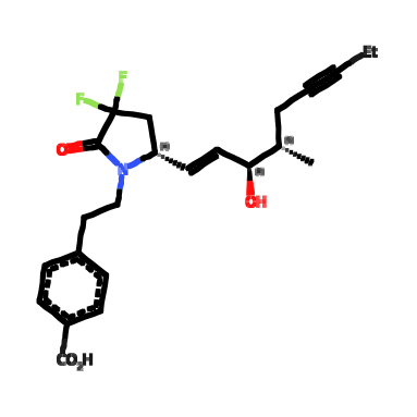 CCC#CC[C@H](C)[C@@H](O)C=C[C@H]1CC(F)(F)C(=O)N1CCc1ccc(C(=O)O)cc1